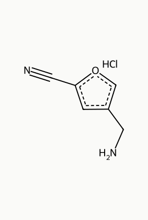 Cl.N#Cc1cc(CN)co1